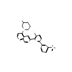 CS(=O)(=O)c1cccc(-c2ccc(N)c(-c3cc4c(N5CCCC(N)C5)ccnc4cn3)n2)c1